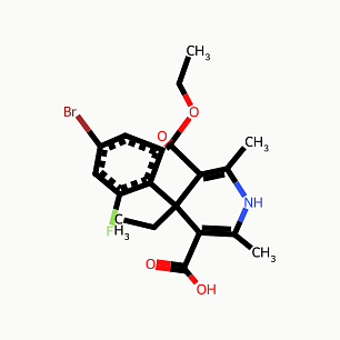 CCOC(=O)C1=C(C)NC(C)=C(C(=O)O)C1(CC)c1ccc(Br)cc1F